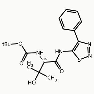 CC(C)(C)OC(=O)N[C@H](C(=O)Nc1snnc1-c1ccccc1)C(C)(C)O